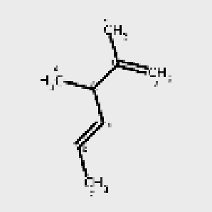 C=C(C)[C](C)C=CC